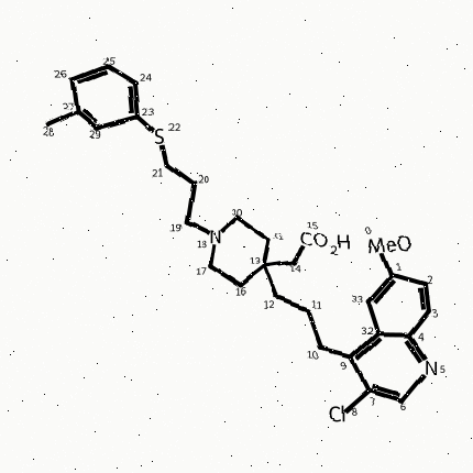 COc1ccc2ncc(Cl)c(CCCC3(CC(=O)O)CCN(CCCSc4cccc(C)c4)CC3)c2c1